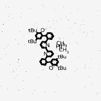 CC(C)(C)c1cc(-c2ccccc2-c2cccc(-c3cccc(-c4ccccc4-c4cc(C(C)(C)C)cc(C(C)(C)C)c4[O-])n3)n2)c([O-])c(C(C)(C)C)c1.[CH3][Hf+2][CH3]